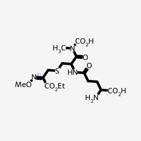 CCOC(=O)/C(CSCC(NC(=O)CCC(N)C(=O)O)C(=O)N(C)C(=O)O)=N\OC